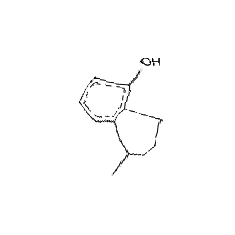 CC1CCc2c(O)cccc21